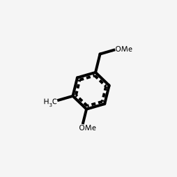 COCc1ccc(OC)c(C)c1